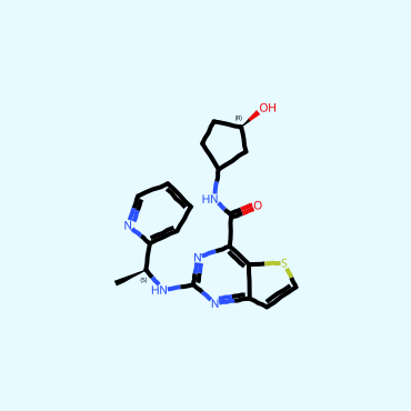 C[C@H](Nc1nc(C(=O)NC2CC[C@@H](O)C2)c2sccc2n1)c1ccccn1